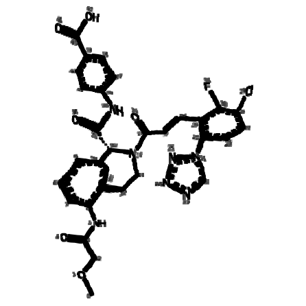 COCC(=O)Nc1cccc2c1CCN(C(=O)/C=C/c1c(-n3cnnn3)ccc(Cl)c1F)[C@H]2C(=O)Nc1ccc(C(=O)O)cc1